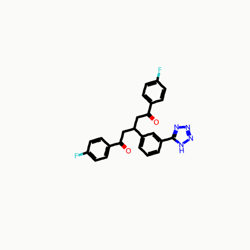 O=C(CC(CC(=O)c1ccc(F)cc1)c1cccc(-c2nnn[nH]2)c1)c1ccc(F)cc1